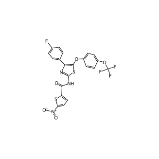 O=C(Nc1nc(-c2ccc(F)cc2)c(Oc2ccc(OC(F)(F)F)cc2)s1)c1ccc([N+](=O)[O-])s1